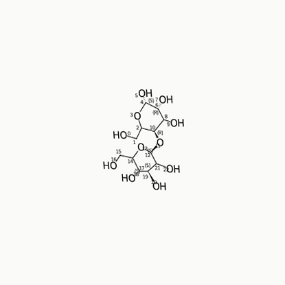 OCC1O[C@H](O)[C@H](O)C(O)[C@H]1O[C@@H]1OC(CO)[C@@H](O)[C@H](O)C1O